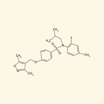 Cc1ccc(N(CC(C)C)S(=O)(=O)c2ccc(OCc3c(C)noc3C)cc2)c(F)c1